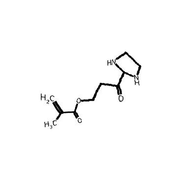 C=C(C)C(=O)OCCC(=O)C1NCCN1